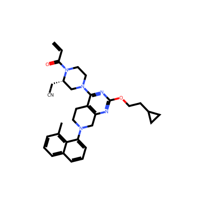 C=CC(=O)N1CCN(c2nc(OCCC3CC3)nc3c2CCN(c2cccc4cccc(C)c24)C3)C[C@@H]1CC#N